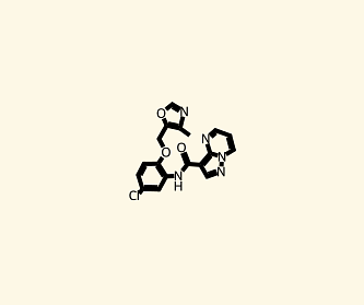 Cc1ncoc1COc1ccc(Cl)cc1NC(=O)c1cnn2cccnc12